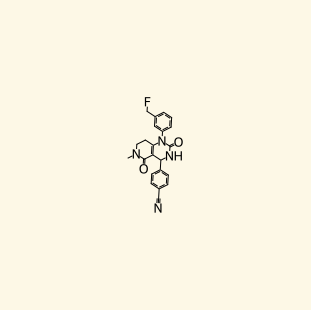 CN1CCC2=C(C1=O)C(c1ccc(C#N)cc1)NC(=O)N2c1cccc(CF)c1